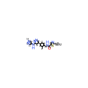 Cc1cc(-c2cnnc(Nc3cnn(C)c3)c2)ccc1CNC(=O)c1cnc(C(C)(C)C)s1